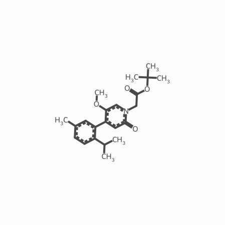 COc1cn(CC(=O)OC(C)(C)C)c(=O)cc1-c1cc(C)ccc1C(C)C